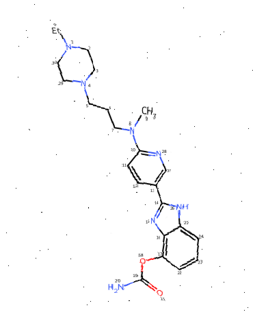 CCN1CCN(CCCN(C)c2ccc(-c3nc4c(OC(N)=O)cccc4[nH]3)cn2)CC1